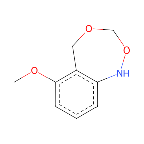 COc1cccc2c1COCON2